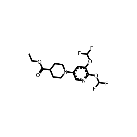 CCOC(=O)C1CCN(c2cnc(OC(F)F)c(OC(F)F)c2)CC1